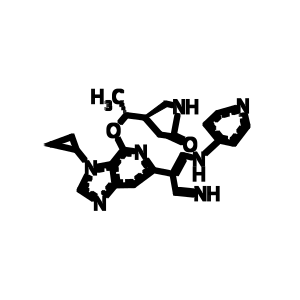 C[C@@H](Oc1nc(/C(C=N)=C/Nc2ccncc2)cc2ncn(C3CC3)c12)[C@H]1CNC(=O)C1